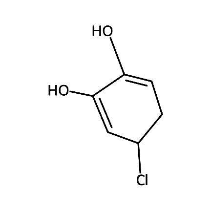 OC1=CCC(Cl)C=C1O